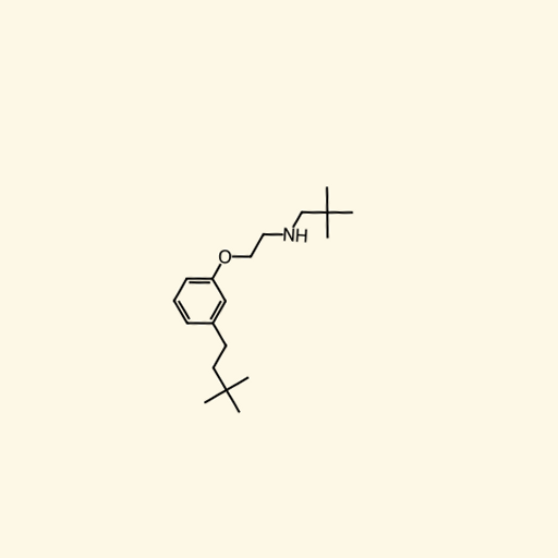 CC(C)(C)CCc1cccc(OCCNCC(C)(C)C)c1